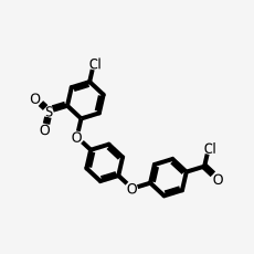 O=C(Cl)c1ccc(Oc2ccc(OC3C=CC(Cl)=CC3=S(=O)=O)cc2)cc1